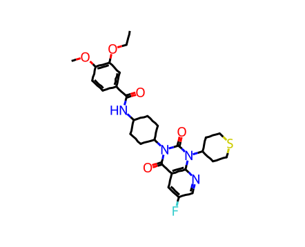 CCOc1cc(C(=O)NC2CCC(n3c(=O)c4cc(F)cnc4n(C4CCSCC4)c3=O)CC2)ccc1OC